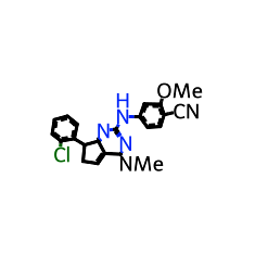 CN[C@@H]1N=C(Nc2ccc(C#N)c(OC)c2)N=C2C1=CCC2c1ccccc1Cl